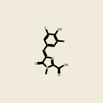 CN1C(=O)/C(=C/c2cc(F)c(O)c(F)c2)N=C1C(=O)O